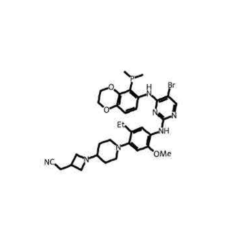 CCc1cc(Nc2ncc(Br)c(Nc3ccc4c(c3P(C)C)OCCO4)n2)c(OC)cc1N1CCC(N2CC(CC#N)C2)CC1